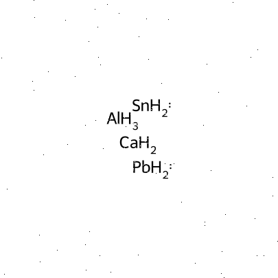 [AlH3].[CaH2].[PbH2].[SnH2]